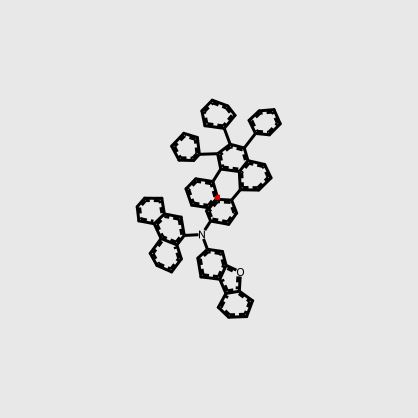 c1ccc(-c2c(-c3ccccc3)c(-c3ccccc3)c3c(-c4ccc(N(c5ccc6c(c5)oc5ccccc56)c5cc6ccccc6c6ccccc56)cc4)cccc3c2-c2ccccc2)cc1